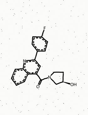 O=C(c1cc(-c2ccc(F)cc2)nc2ccccc12)N1CC[C@@H](O)C1